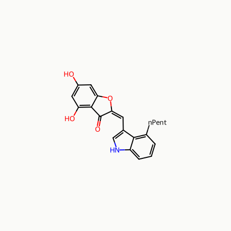 CCCCCc1cccc2[nH]cc(C=C3Oc4cc(O)cc(O)c4C3=O)c12